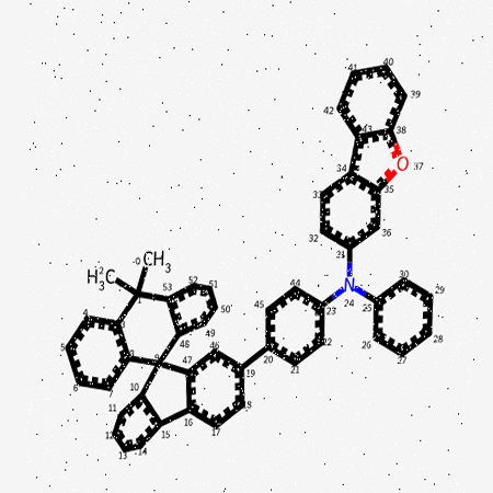 CC1(C)c2ccccc2C2(c3ccccc3-c3ccc(-c4ccc(N(c5ccccc5)c5ccc6c(c5)oc5ccccc56)cc4)cc32)c2ccccc21